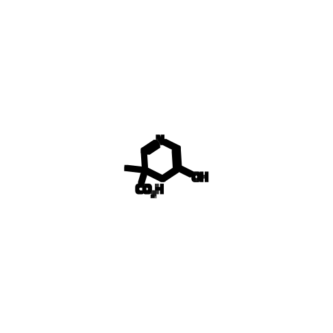 CC1(C(=O)O)C=NC=C(O)C1